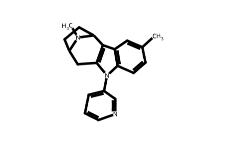 Cc1ccc2c(c1)c1c(n2-c2cccnc2)CC2CCC1N2C